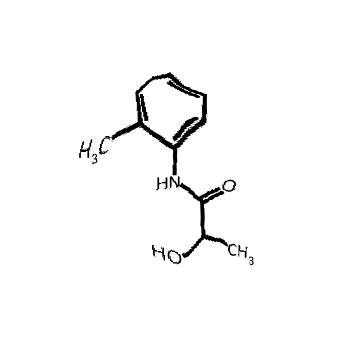 Cc1ccccc1NC(=O)C(C)O